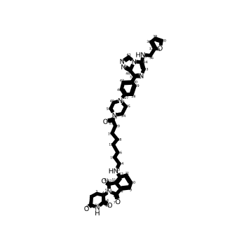 O=C1CCC(N2C(=O)c3cccc(NCCCCCCCC(=O)N4CCN(c5ccc(-c6ncc(NCc7ccco7)n7cnnc67)cc5)CC4)c3C2=O)C(=O)N1